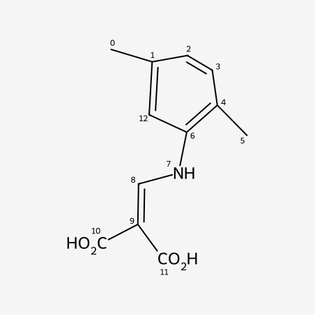 Cc1ccc(C)c(NC=C(C(=O)O)C(=O)O)c1